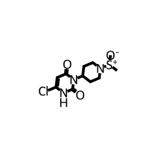 C[S+]([O-])N1CCC(n2c(=O)cc(Cl)[nH]c2=O)CC1